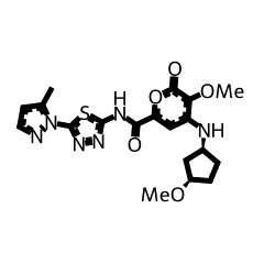 COc1c(N[C@H]2CC[C@@H](OC)C2)cc(C(=O)Nc2nnc(-n3nccc3C)s2)oc1=O